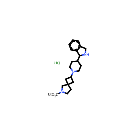 CCOC(=O)N1CCC2(CC(N3CCC(C4NCc5ccccc54)CC3)C2)C1.Cl